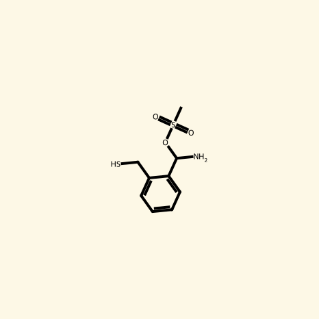 CS(=O)(=O)OC(N)c1ccccc1CS